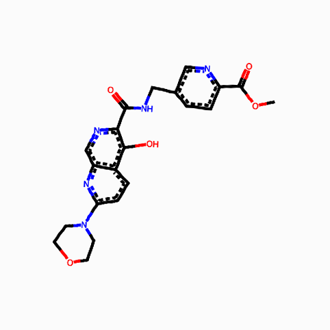 COC(=O)c1ccc(CNC(=O)c2ncc3nc(N4CCOCC4)ccc3c2O)cn1